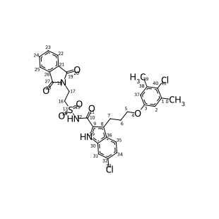 Cc1cc(OCCCc2c(C(=O)NS(=O)(=O)CCN3C(=O)c4ccccc4C3=O)[nH]c3cc(Cl)ccc23)cc(C)c1Cl